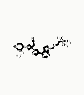 CO[C@H]1CNCC[C@H]1N1CC(CC#N)(n2cc(-c3ncnc4c3ccn4COCCS(C)(C)C)cn2)C1